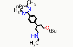 C=CNCCC(CCOC(C)(C)C)c1ccc(C(/N=C(/C)CCC)=N/C)cc1